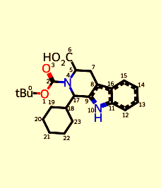 CC(C)(C)OC(=O)N1C(C(=O)O)Cc2c([nH]c3ccccc23)C1C1CCCCC1